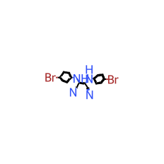 N#C/C(Nc1ccc(Br)cc1)=C(\C#N)Nc1ccc(Br)cc1